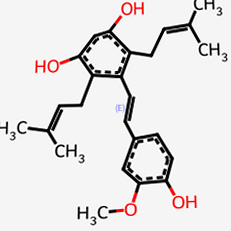 COc1cc(/C=C/c2c(CC=C(C)C)c(O)cc(O)c2CC=C(C)C)ccc1O